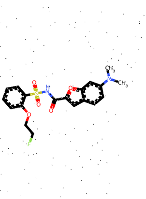 CN(C)c1ccc2cc(C(=O)NS(=O)(=O)c3ccccc3OCCF)oc2c1